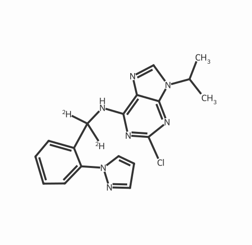 [2H]C([2H])(Nc1nc(Cl)nc2c1ncn2C(C)C)c1ccccc1-n1cccn1